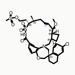 CO[C@@]1(C)/C=C/C[C@H](C)[C@@H](CCOS(C)(=O)=O)S(=O)(=O)NC(=O)c2ccc3c(c2)N(C[C@@H]2CC[C@H]21)C[C@@]1(CCCc2cc(Cl)ccc21)CO3